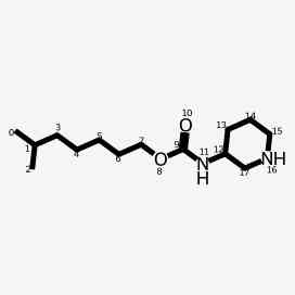 CC(C)CCCCCOC(=O)NC1CCCNC1